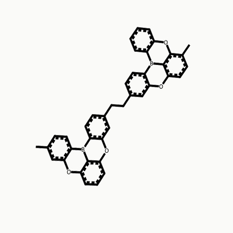 Cc1ccc2c(c1)Oc1cccc3c1B2c1ccc(CCc2ccc4c(c2)Oc2ccc(C)c5c2B4c2ccccc2O5)cc1O3